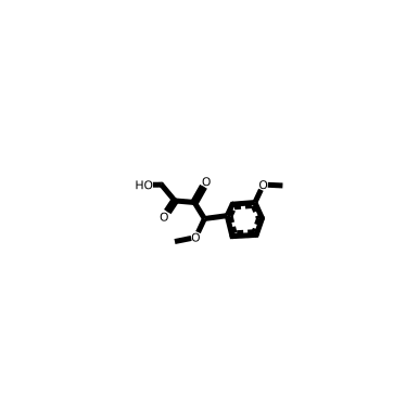 COc1cccc(C(OC)C(=O)C(=O)CO)c1